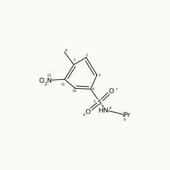 Cc1ccc(S(=O)(=O)NC(C)C)cc1[N+](=O)[O-]